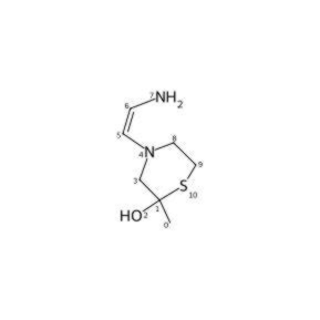 CC1(O)CN(/C=C\N)CCS1